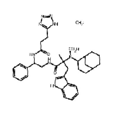 CC(Cc1c[nH]c2ccccc12)(C(=O)NCC(NC(=O)CCc1nnn[nH]1)c1ccccc1)N(C(=O)O)C1CCC2CCCC1C2.[CH2]